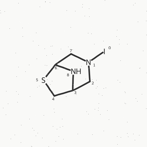 IN1CC2CSC(C1)N2